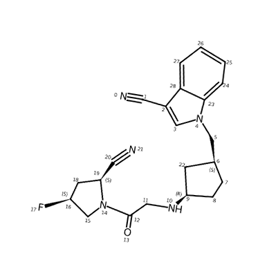 N#Cc1cn(C[C@H]2CC[C@@H](NCC(=O)N3C[C@@H](F)C[C@H]3C#N)C2)c2ccccc12